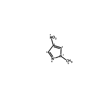 CN1C=C([N+](=O)[O-])C=[N+]1